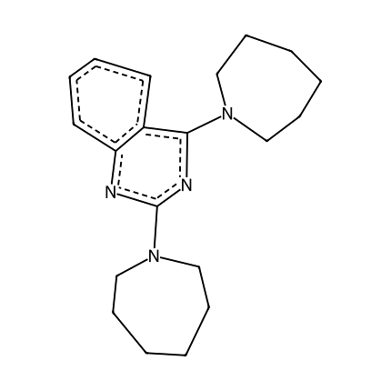 c1ccc2c(N3CCCCCC3)nc(N3CCCCCC3)nc2c1